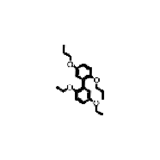 CCCOc1c[c]c(OCCC)c(-c2cc(OCC)ccc2OCC)c1